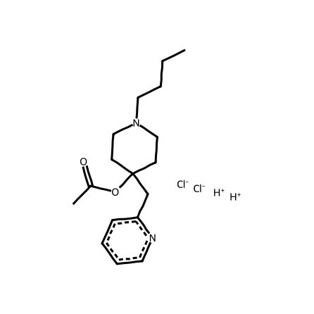 CCCCN1CCC(Cc2ccccn2)(OC(C)=O)CC1.[Cl-].[Cl-].[H+].[H+]